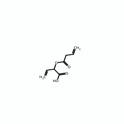 C=CCC(=O)OC(C=C)C(=O)O